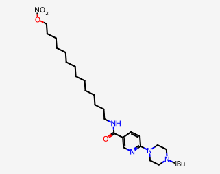 CCC(C)N1CCN(c2ccc(C(=O)NCCCCCCCCCCCCCCO[N+](=O)[O-])cn2)CC1